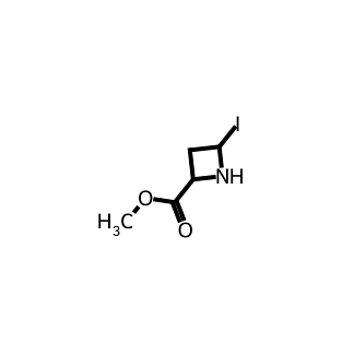 COC(=O)C1CC(I)N1